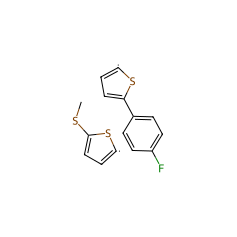 CSc1cc[c]s1.Fc1ccc(-c2cc[c]s2)cc1